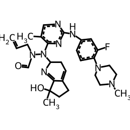 C=CCN(C=O)N(c1nc(Nc2ccc(N3CCN(C)CC3)c(F)c2)ncc1C)C1CC=C2CCC(C)(O)C2=N1